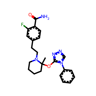 CC1(Oc2nncn2-c2ccccc2)CCCCN1CCc1ccc(C(N)=O)c(F)c1